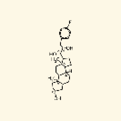 C[C@]12CC[C@H](O)CC1CC[C@@H]1C2CC[C@@]2(C)C1CCC2[C@H](O)[C@@H](O)Cc1ccc(F)cc1